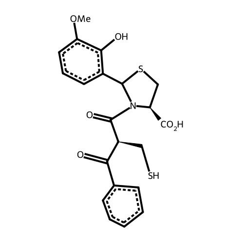 COc1cccc(C2SC[C@@H](C(=O)O)N2C(=O)[C@@H](CS)C(=O)c2ccccc2)c1O